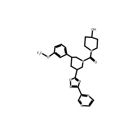 O=C(N1CCC(O)CC1)N1CC(c2cccc(OC(F)(F)F)c2)CC(c2nc(-c3cnccn3)no2)C1